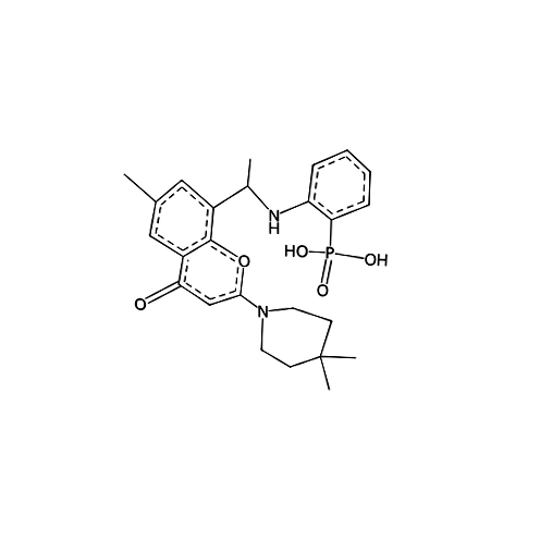 Cc1cc(C(C)Nc2ccccc2P(=O)(O)O)c2oc(N3CCC(C)(C)CC3)cc(=O)c2c1